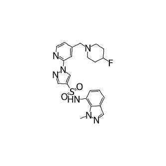 Cn1ncc2cccc(NS(=O)(=O)c3cnn(-c4cc(CN5CCC(F)CC5)ccn4)c3)c21